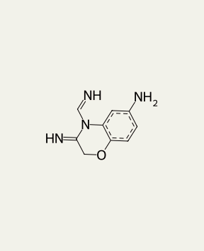 N=CN1C(=N)COc2ccc(N)cc21